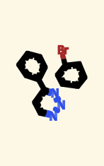 Brc1ccccc1.c1ccc(-c2ccnnn2)cc1